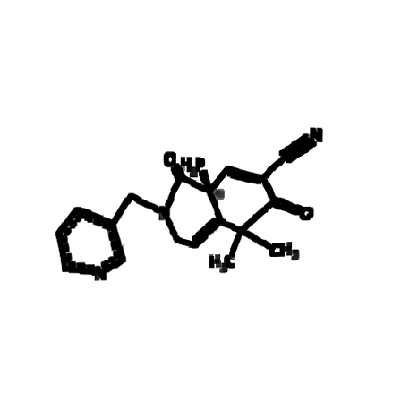 CC1(C)C(=O)C(C#N)=C[C@@]2(P)C(=O)N(Cc3cccnc3)CC=C12